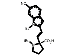 CCn1c(C=C[C@]2(C(=O)O)CCCN2C(C)(C)C)cc2ccc(C#N)cc21